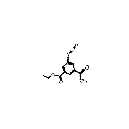 CCOC(=O)c1cc(N=C=O)cc(C(=O)O)c1